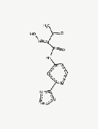 CC(=O)C(=NO)C(=O)Nc1cccc(-c2ncon2)c1